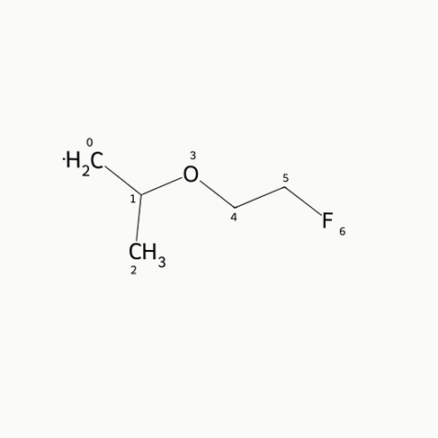 [CH2]C(C)OCCF